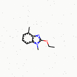 CCOc1nc2c(C)cccc2n1C